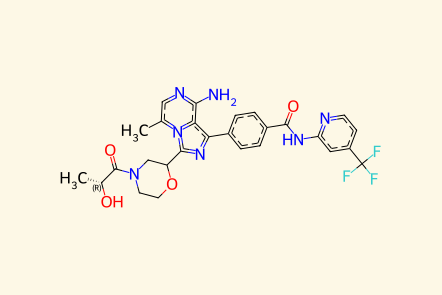 Cc1cnc(N)c2c(-c3ccc(C(=O)Nc4cc(C(F)(F)F)ccn4)cc3)nc(C3CN(C(=O)[C@@H](C)O)CCO3)n12